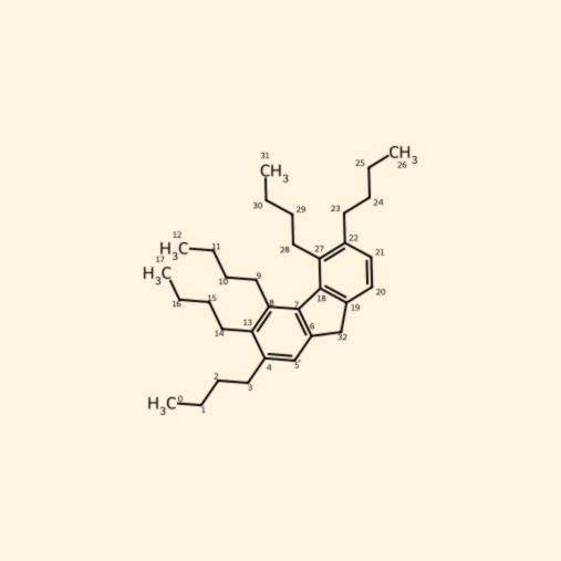 CCCCc1[c]c2c(c(CCCC)c1CCCC)-c1c(ccc(CCCC)c1CCCC)C2